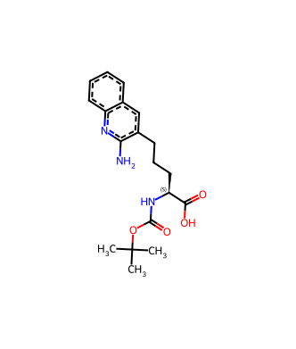 CC(C)(C)OC(=O)N[C@@H](CCCc1cc2ccccc2nc1N)C(=O)O